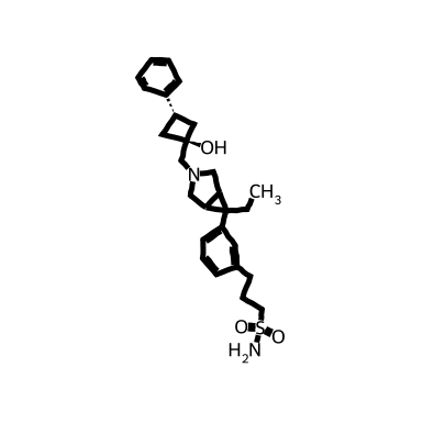 CCC1(c2cccc(CCCS(N)(=O)=O)c2)C2CN(C[C@]3(O)C[C@H](c4ccccc4)C3)CC21